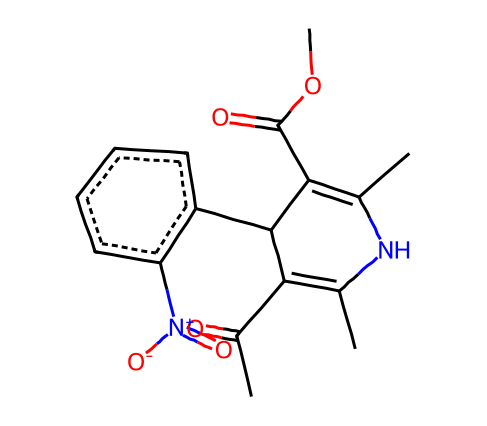 COC(=O)C1=C(C)NC(C)=C(C(C)=O)C1c1ccccc1[N+](=O)[O-]